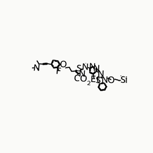 CCOC(=O)c1nc(N(C)c2cc(C)c(/N=c3\sc4ccccc4n3COCC[Si](C)(C)C)nn2)sc1CCCOc1ccc(C#CC(C)N(C)C)cc1F